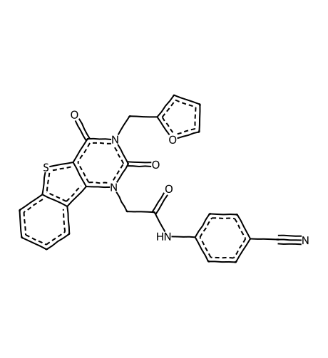 N#Cc1ccc(NC(=O)Cn2c(=O)n(Cc3ccco3)c(=O)c3sc4ccccc4c32)cc1